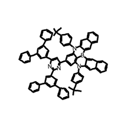 CC(C)(C)c1ccc(N2c3cc4ccccc4cc3B3c4cc5ccccc5cc4N(c4ccc(C(C)(C)C)cc4)c4cc(-c5cc(-c6cc(-c7ccccc7)cc(-c7ccccc7)c6)nc(-c6cc(-c7ccccc7)cc(-c7ccccc7)c6)n5)cc2c43)cc1